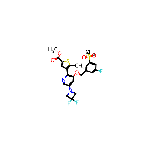 COC(=O)c1cc(-c2ncc(N3CC(F)(F)C3)cc2OCc2cc(F)cc(S(C)(=O)=O)c2)c(C)s1